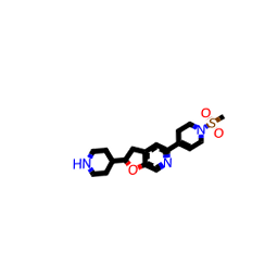 CS(=O)(=O)N1CC=C(c2cc3c(cn2)OC(C2CCNCC2)C3)CC1